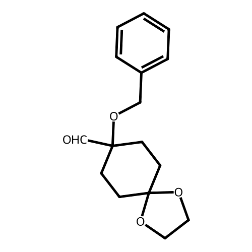 O=CC1(OCc2ccccc2)CCC2(CC1)OCCO2